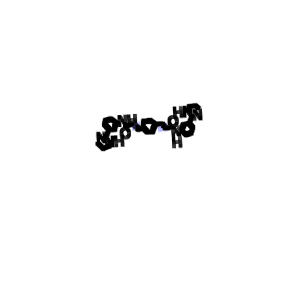 O=C(/C=C/c1ccc(/C=C/C(=O)Nc2cccc(C3=NCCCN3)c2)cc1)Nc1cccc(C2=NCCCN2)c1